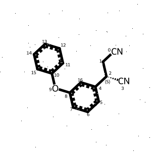 N#CC[C@H](C#N)c1cccc(Oc2ccccc2)c1